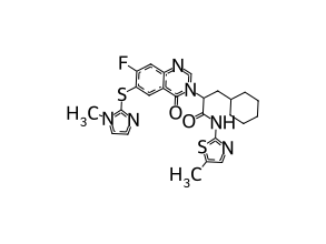 Cc1cnc(NC(=O)C(CC2CCCCC2)n2cnc3cc(F)c(Sc4nccn4C)cc3c2=O)s1